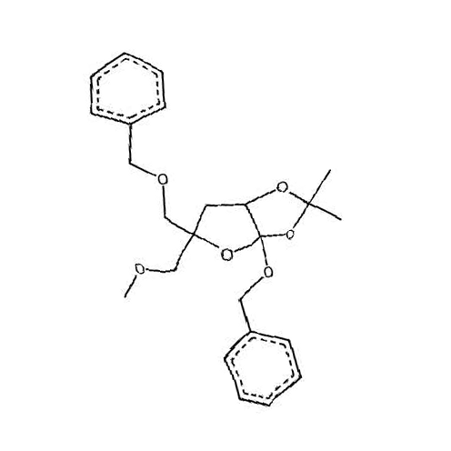 COCC1(COCc2ccccc2)CC2OC(C)(C)OC2(OCc2ccccc2)O1